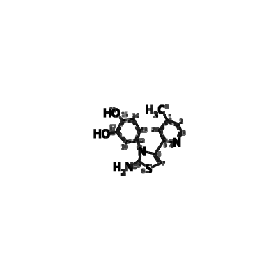 Cc1ccnc(C2=CSC(N)N2c2ccc(O)c(O)c2)c1